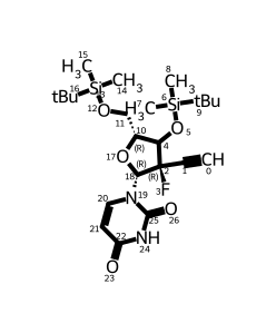 C#C[C@@]1(F)C(O[Si](C)(C)C(C)(C)C)[C@@H](CO[Si](C)(C)C(C)(C)C)O[C@H]1n1ccc(=O)[nH]c1=O